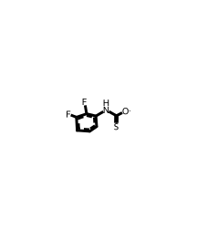 [O]C(=S)Nc1cccc(F)c1F